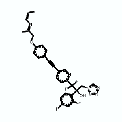 C/C=C\N=C(/C)COc1ccc(C#Cc2ccc(C(F)(F)C(O)(Cn3cnnn3)c3ccc(F)cc3F)nc2)cc1